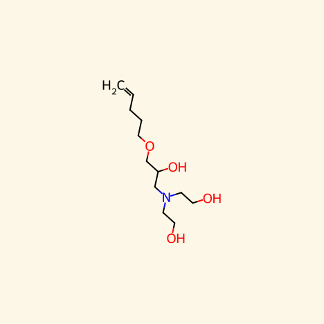 C=CCCCOCC(O)CN(CCO)CCO